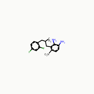 CC(Cc1ccc(F)cc1F)Cc1c([N+](=O)[O-])ccc(N)c1N